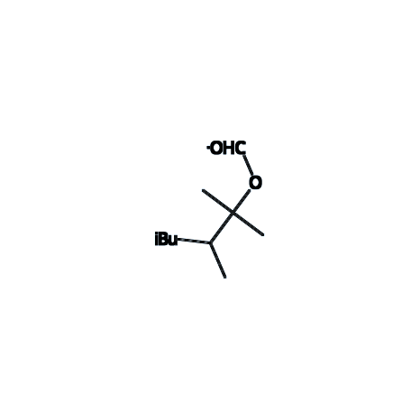 CCC(C)C(C)C(C)(C)O[C]=O